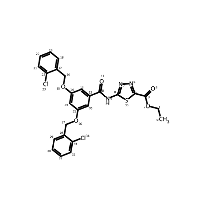 CCOC(=O)c1nnc(NC(=O)c2cc(OCc3ccccc3Cl)cc(OCc3ccccc3Cl)c2)s1